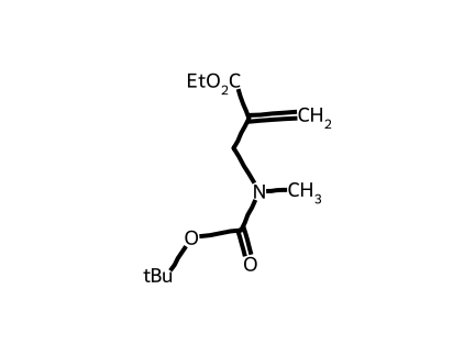 C=C(CN(C)C(=O)OC(C)(C)C)C(=O)OCC